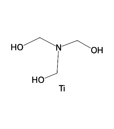 OCN(CO)CO.[Ti]